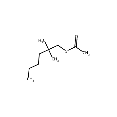 CCCCC(C)(C)CSC(C)=O